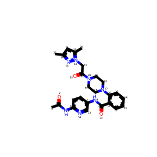 CC(=O)Nc1ccc(NC(=O)c2ccccc2N2CCN(C(=O)Cn3nc(C)cc3C)CC2)cn1